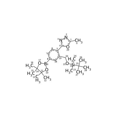 Cc1nnc(-c2ccc(B3OC(C)(C)C(C)(C)O3)cc2CO[Si](C)(C)C(C)(C)C)o1